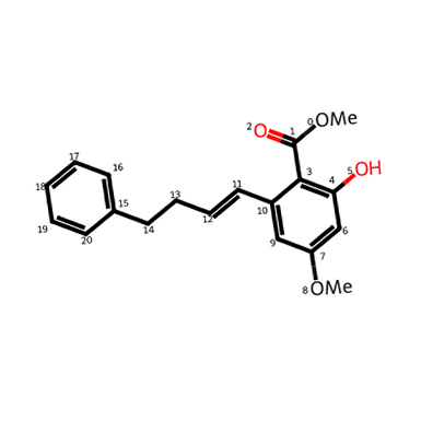 COC(=O)c1c(O)cc(OC)cc1C=CCCc1ccccc1